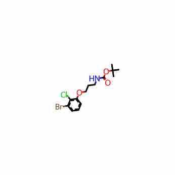 CC(C)(C)OC(=O)NCCCOc1cccc(Br)c1Cl